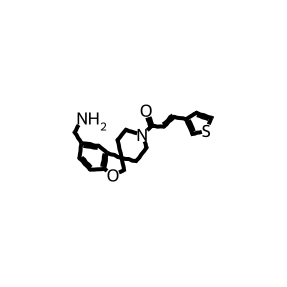 NCc1ccc2c(c1)C1(CCN(C(=O)/C=C/c3ccsc3)CC1)CO2